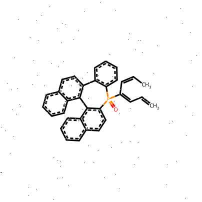 C=C/C=C(\C=C/C)P1(=O)c2ccccc2-c2ccc3ccccc3c2-c2c1ccc1ccccc21